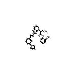 CCC(C(=O)Nc1ccccc1C)n1cccc2nc(SCc3cccc(-c4cccs4)c3)nc1-2